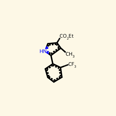 CCOC(=O)c1c[nH]c(-c2ccccc2C(F)(F)F)c1C